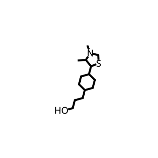 CC1C(C2CCC(CCCO)CC2)SCN1C